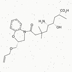 C=CCOC[C@H]1CN(C(=O)CC(C)(C)C[C@H](N)[C@@H](O)C[C@@H](C)C(=O)O)c2ccccc2O1